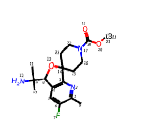 Cc1nc2c(cc1F)[C@@H](C(C)(C)N)OC21CCN(C(=O)OC(C)(C)C)CC1